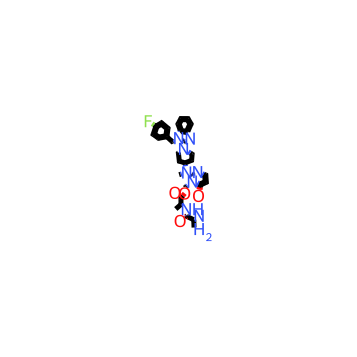 CC(N)C(=O)NC(C)C(=O)OCn1c(N(C)C2CCN(c3nc4ccccc4n3Cc3ccc(F)cc3)CC2)nccc1=O